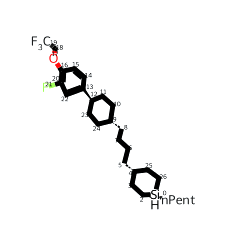 CCCCC[Si@H]1CC[C@H](CCCC[C@H]2CC[C@H](c3ccc(OCC(F)(F)F)c(F)c3)CC2)CC1